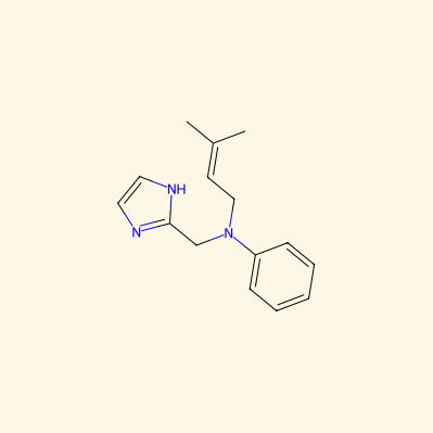 CC(C)=CCN(Cc1ncc[nH]1)c1ccccc1